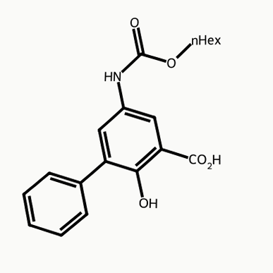 CCCCCCOC(=O)Nc1cc(C(=O)O)c(O)c(-c2ccccc2)c1